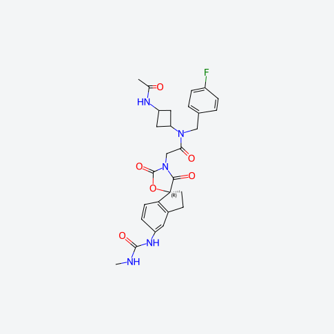 CNC(=O)Nc1ccc2c(c1)CC[C@@]21OC(=O)N(CC(=O)N(Cc2ccc(F)cc2)C2CC(NC(C)=O)C2)C1=O